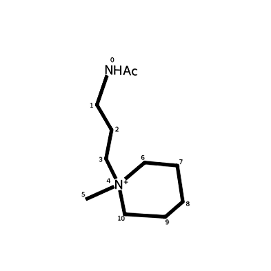 [CH2]C(=O)NCCC[N+]1(C)CCCCC1